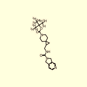 [2H]C([2H])([2H])C(OC(=O)N1CCC2(CC1)CC2CNC(=O)N1Cc2ccncc2C1)(C([2H])([2H])[2H])C([2H])([2H])[2H]